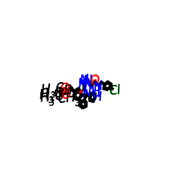 CC1(C)OB(CCCC[C@H](NC(c2ccccc2)(c2ccccc2)c2ccccc2)c2nnnn2CC(=O)NCc2ccc(Cl)cc2)OC1(C)C